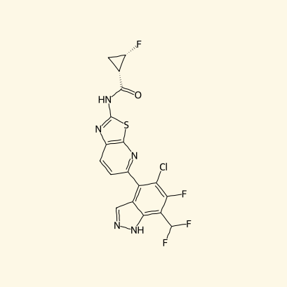 O=C(Nc1nc2ccc(-c3c(Cl)c(F)c(C(F)F)c4[nH]ncc34)nc2s1)[C@@H]1C[C@@H]1F